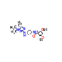 CCOc1cc(OCC)cc(C(=O)N[C@H]2CC[C@@H](Nc3ncc(C)c(N(C)C)n3)CC2)c1